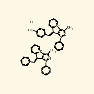 Cc1nn(-c2ccccc2)c2c1-[n+]1ccccc1C2=Cc1ccc(O)cc1.Cc1nn(-c2ccccc2)c2c1-[n+]1ccccc1C2=Cc1ccccc1.I